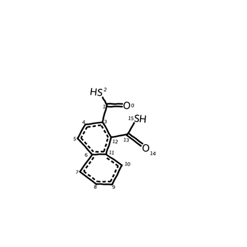 O=C(S)c1ccc2ccccc2c1C(=O)S